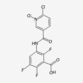 O=C(Nc1cc(F)c(F)c(C(=O)O)c1F)c1ccc(Cl)[n+]([O-])c1